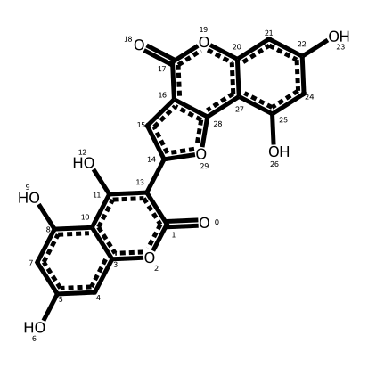 O=c1oc2cc(O)cc(O)c2c(O)c1-c1cc2c(=O)oc3cc(O)cc(O)c3c2o1